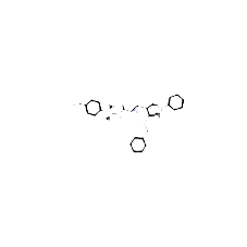 CC(C)(C)c1ccc(S(=O)(=O)NC(=O)/C=C/c2cn(-c3ccccc3)nc2CCc2ccccc2)cc1